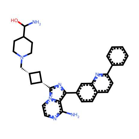 Nc1nccn2c1c(-c1ccc3ccc(-c4ccccc4)nc3c1)nc2[C@H]1C[C@@H](CN2CCC(C(N)O)CC2)C1